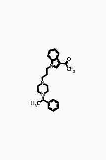 CC(c1ccccc1)N1CCN(CCCn2cc(C(=O)C(F)(F)F)c3ccccc32)CC1